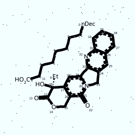 CCCCCCCCCCCCCCCCCC(=O)O.CC[C@@]1(O)C(=O)OCc2c1cc1n(c2=O)Cc2cc3ccccc3nc2-1